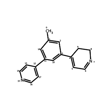 Cc1cc(C2=CC=NCC2)cc(-c2ccncc2)c1